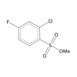 COS(=O)(=O)c1ccc(F)cc1Cl